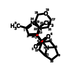 Cc1cc(S(=O)(=O)N2C3CCC2CC(CN2CCOCC2)C3)n(C)n1